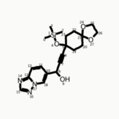 C[Si](C)(C)OC1(C#CC(O)c2ccc3ncnn3c2)CCC2(CC1)OCCO2